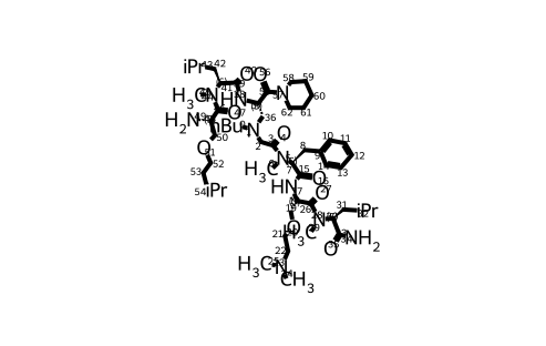 CCCCN(CC(=O)N(C)[C@@H](Cc1ccccc1)C(=O)N[C@@H](COCCN(C)C)C(=O)N(C)[C@@H](CC(C)C)C(N)=O)C[C@H](NC(=O)[C@H](CC(C)C)N(C)C(=O)[C@@H](N)COCCC(C)C)C(=O)N1CCCCC1